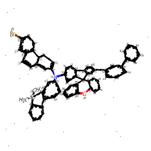 C[Si]1(C)c2ccccc2-c2ccc(N(C3=CCC4C(=C3)C=Cc3cc(Br)ccc34)c3ccc4c(c3)C3(c5ccccc5Oc5ccccc53)c3cc(-c5cccc(-c6ccccc6)c5)ccc3-4)cc21